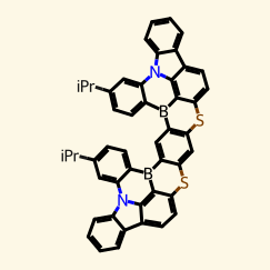 CC(C)c1ccc2c(c1)-n1c3ccccc3c3ccc4c(c31)B2c1cc2c(cc1S4)Sc1ccc3c4ccccc4n4c3c1B2c1ccc(C(C)C)cc1-4